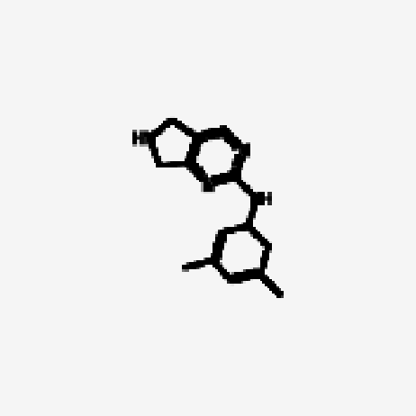 CC1=CC(Nc2ncc3c(n2)CNC3)CC(C)=C1